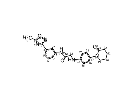 Cc1nc(-c2cccc(NC(=O)CNc3ccc(N4CCCCC4=O)cc3)c2)no1